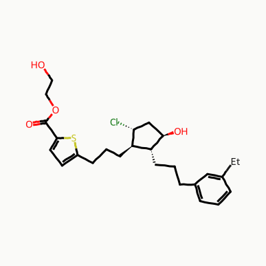 CCc1cccc(CCC[C@@H]2[C@@H](CCCc3ccc(C(=O)OCCO)s3)[C@H](Cl)C[C@H]2O)c1